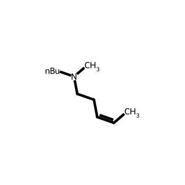 C/C=C\CCN(C)CCCC